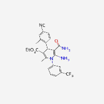 [C-]#[N+]c1ccc(C2C(C(=O)OCC)=C(C)N(c3cccc(C(F)(F)F)c3)C(N)=C2C(N)=O)c(C)c1